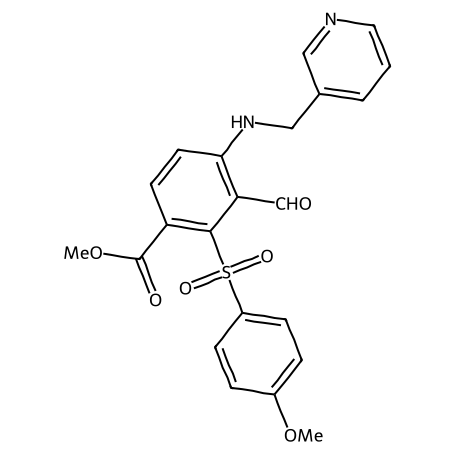 COC(=O)c1ccc(NCc2cccnc2)c(C=O)c1S(=O)(=O)c1ccc(OC)cc1